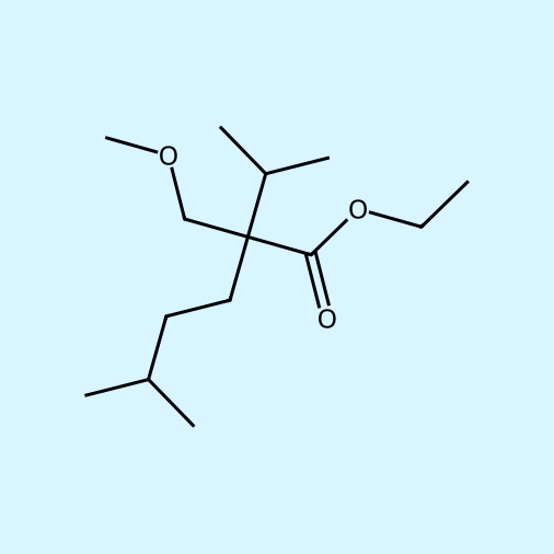 CCOC(=O)C(CCC(C)C)(COC)C(C)C